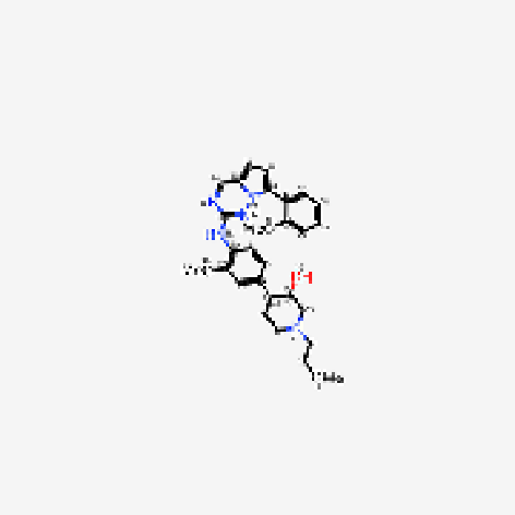 COCCN1CC[C@@H](c2ccc(Nc3ncc4ccc(-c5ccccc5OC)n4n3)c(OC)c2)[C@@H](O)C1